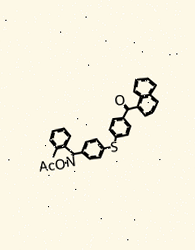 CC(=O)O/N=C(/c1ccc(Sc2ccc(C(=O)c3cccc4ccccc34)cc2)cc1)c1ccccc1C